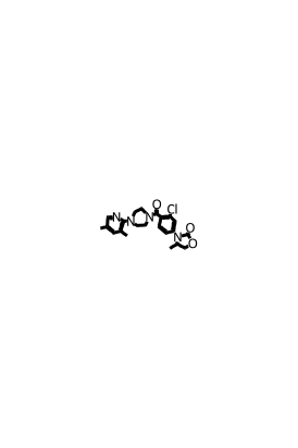 Cc1cnc(N2CCN(C(=O)c3ccc(N4C(=O)OCC4C)cc3Cl)CC2)c(C)c1